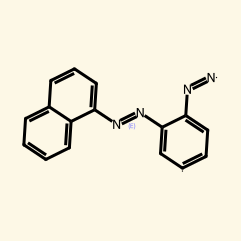 [N]=Nc1cc[c]cc1/N=N/c1cccc2ccccc12